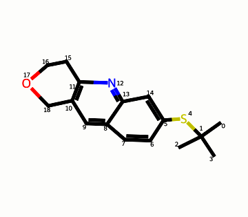 CC(C)(C)Sc1ccc2cc3c(nc2c1)CCOC3